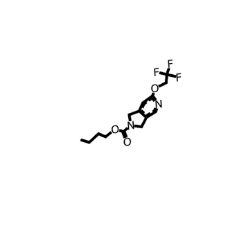 CCCCOC(=O)N1Cc2cnc(OCC(F)(F)F)cc2C1